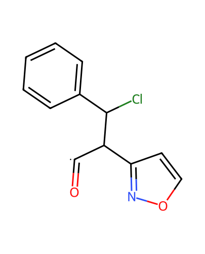 O=[C]C(c1ccon1)C(Cl)c1ccccc1